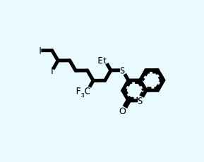 CCC(CC(CCCC(I)CI)C(F)(F)F)Sc1cc(=O)sc2ccccc12